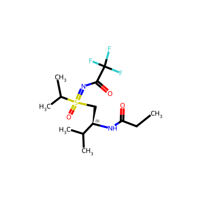 CCC(=O)N[C@H](CS(=O)(=NC(=O)C(F)(F)F)C(C)C)C(C)C